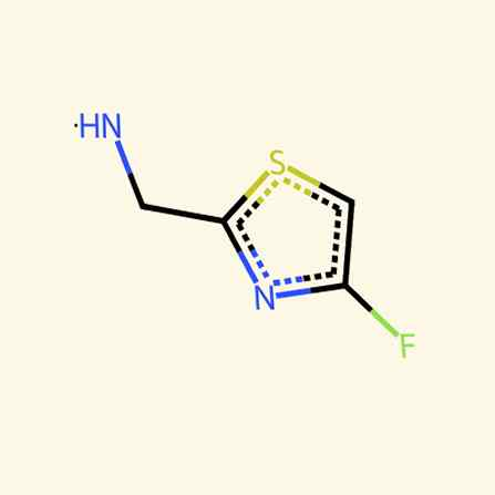 [NH]Cc1nc(F)cs1